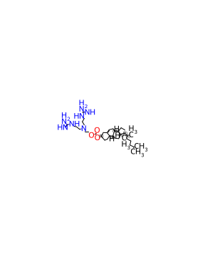 CC(C)CCC[C@@H](C)[C@H]1CC[C@H]2[C@@H]3CC=C4C[C@@H](OC(=O)OCCN(CCCNC(=N)N)CCCNC(=N)N)CCC4[C@H]3CC[C@]12C